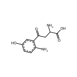 Nc1ccc(O)cc1C(=O)CC(N)C(=O)O